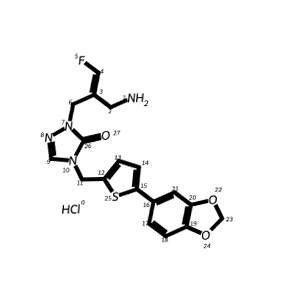 Cl.NC/C(=C/F)Cn1ncn(Cc2ccc(-c3ccc4c(c3)OCO4)s2)c1=O